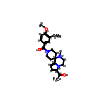 COc1cc(C(=O)N2CCC3(CC2)c2ccc(C(=O)C(F)(F)F)n2CCN3C)ccc1OC(C)C